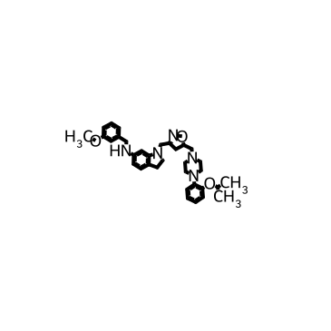 COc1cccc(CNc2ccc3c(c2)N(CC2=NOC(CN4CCN(c5ccccc5OC(C)C)CC4)C2)CC3)c1